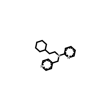 [c]1cccnc1N(CCC1CCCCC1)Cc1ccncc1